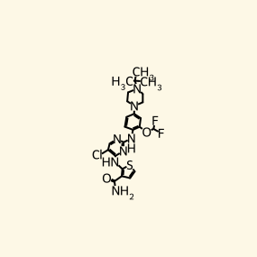 CC(C)(C)N1CCN(c2ccc(Nc3ncc(Cl)c(Nc4sccc4C(N)=O)n3)c(OC(F)F)c2)CC1